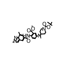 COC(=O)c1cc(N(C)C2CCN(C(=O)OC(C)(C)C)CC2)ccc1NC(=O)c1cc(C)c2nn(C)cc2c1